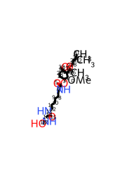 COC1C(OC(=O)NCCCCCCNC(=O)CNO)CC[C@]2(CO2)C1[C@H](C)OCC=C(C)C